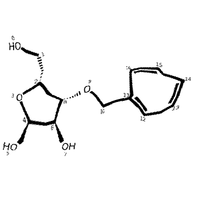 OC[C@H]1O[C@H](O)[C@H](O)[C@H]1OCc1ccccc1